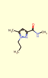 CCCn1nc(C(=O)NC)cc1C